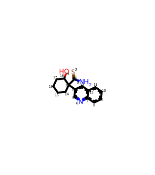 NC(=S)C1(c2cnc3ccccc3c2)CCCCC1O